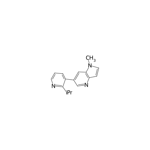 CC(C)c1ncccc1-c1cnc2ccn(C)c2c1